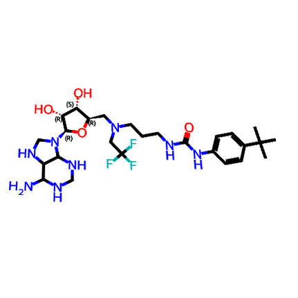 CC(C)(C)c1ccc(NC(=O)NCCCN(C[C@H]2O[C@@H](N3CNC4C(N)NCNC43)[C@H](O)[C@@H]2O)CC(F)(F)F)cc1